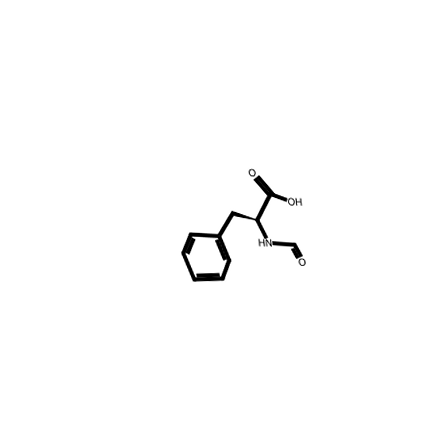 O=CN[C@@H](Cc1ccccc1)C(=O)O